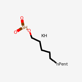 CCCCCCCCCCO[SH](=O)=O.[KH]